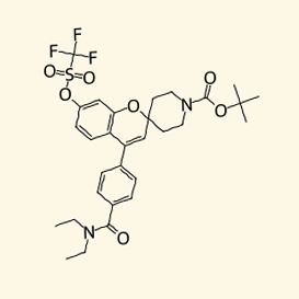 CCN(CC)C(=O)c1ccc(C2=CC3(CCN(C(=O)OC(C)(C)C)CC3)Oc3cc(OS(=O)(=O)C(F)(F)F)ccc32)cc1